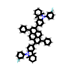 CC12CCCCC1(C)N(c1cccc(F)c1)c1ccc(-c3cc(-c4ccccc4)c4ccc5c(-c6ccc7c(c6)C6(C)CCCCC6(C)N7c6cccc(F)c6)cc(-c6ccccc6)c6ccc3c4c65)cc12